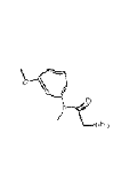 COc1cccc(N(C)C(=O)CN)c1